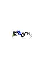 Cc1cccc(-n2cc(-c3cccc(F)c3)nn2)c1